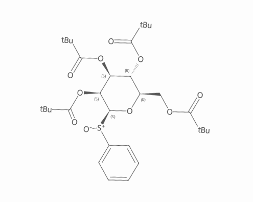 CC(C)(C)C(=O)OC[C@H]1O[C@@H]([S+]([O-])c2ccccc2)[C@@H](OC(=O)C(C)(C)C)[C@@H](OC(=O)C(C)(C)C)[C@@H]1OC(=O)C(C)(C)C